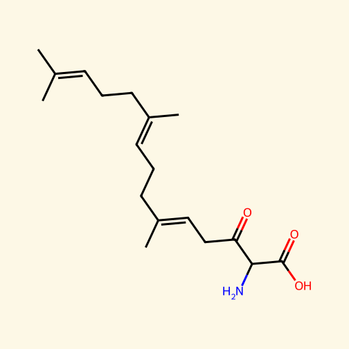 CC(C)=CCCC(C)=CCCC(C)=CCC(=O)C(N)C(=O)O